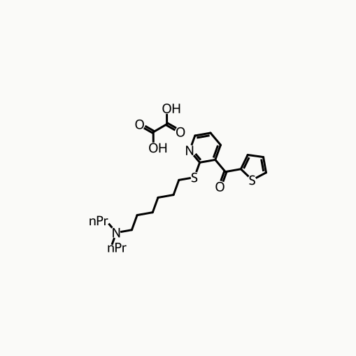 CCCN(CCC)CCCCCCSc1ncccc1C(=O)c1cccs1.O=C(O)C(=O)O